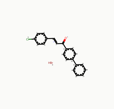 Br.O=C(/C=C/c1ccc(Cl)cc1)c1ccc(-c2ccccc2)cc1